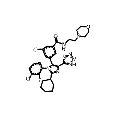 O=C(NCCN1CCOCC1)c1cc(Cl)cc(-c2c(-c3nnn[nH]3)nc(C3CCCCC3)n2-c2cccc(Cl)c2F)c1